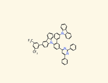 FC(F)(F)c1cc(-c2ccc3c(c2)c2ccccc2n3-c2ccc(-c3cc(-c4ccccc4)nc(-c4ccccc4)n3)cc2-c2cccc(-n3c4ccccc4c4ccccc43)c2)cc(C(F)(F)F)c1